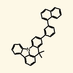 CC1(C)c2cc(-c3cccc(-c4cccc5ccccc45)c3)ccc2-n2c3ccccc3c3cccc1c32